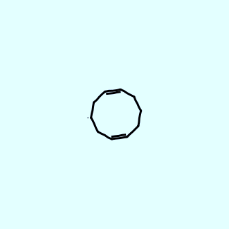 [CH]1CC=CCCCC=CC1